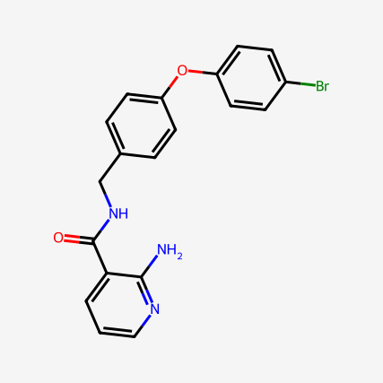 Nc1ncccc1C(=O)NCc1ccc(Oc2ccc(Br)cc2)cc1